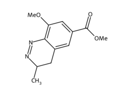 COC(=O)c1cc2c(c(OC)c1)N=NC(C)C2